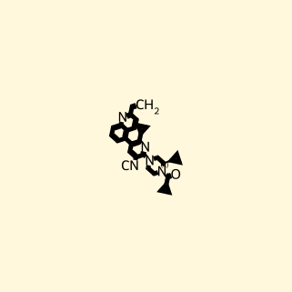 C=Cc1ccc2c(-c3cc(C#N)c(N4CCN(C(=O)C5CC5)[C@H](C5CC5)C4)nc3C3CC3)cccc2n1